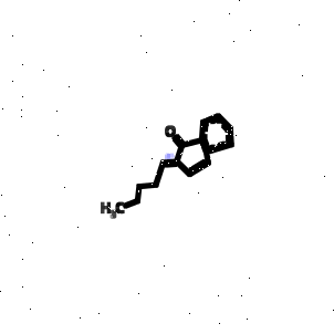 CCCC/C=C1\C=Cc2ccccc2C1=O